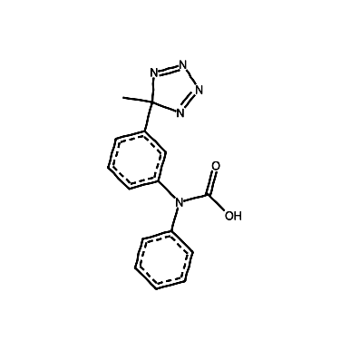 CC1(c2cccc(N(C(=O)O)c3ccccc3)c2)N=NN=N1